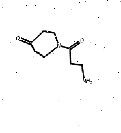 NCCC(=O)N1CCC(=O)CC1